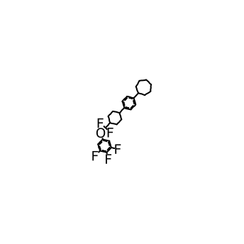 Fc1cc(OC(F)(F)C2CCC(c3ccc(C4CCCCCC4)cc3)CC2)cc(F)c1F